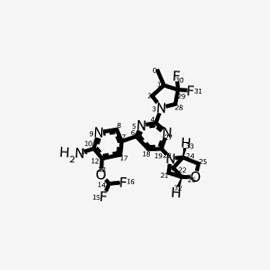 CC1CN(c2nc(-c3cnc(N)c(OC(F)F)c3)cc(N3C[C@@H]4C[C@H]3CO4)n2)CC1(F)F